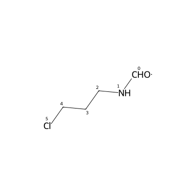 O=[C]NCCCCl